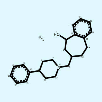 Cl.OC1CC(CN2CCC(c3ccccc3)CC2)CCc2ccccc21